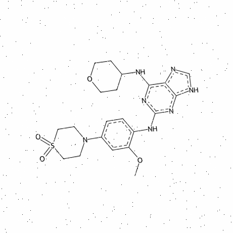 COc1cc(N2CCS(=O)(=O)CC2)ccc1Nc1nc(NC2CCOCC2)c2nc[nH]c2n1